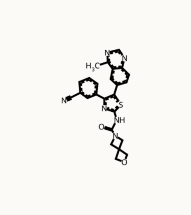 Cc1ncnc2ccc(-c3sc(NC(=O)N4CC5(COC5)C4)nc3-c3cccc(C#N)c3)cc12